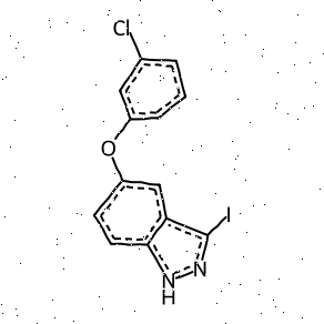 Clc1cccc(Oc2ccc3[nH]nc(I)c3c2)c1